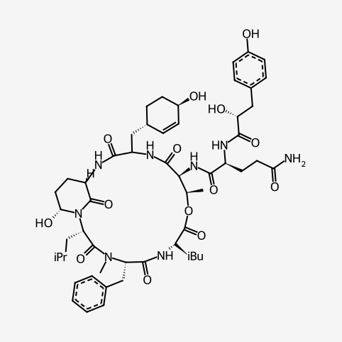 CC[C@H](C)[C@@H]1NC(=O)[C@H](Cc2ccccc2)N(C)C(=O)[C@H](CC(C)C)N2C(=O)[C@H](CC[C@H]2O)NC(=O)C(C[C@H]2C=C[C@H](O)CC2)NC(=O)[C@@H](NC(=O)[C@H](CCC(N)=O)NC(=O)[C@H](O)Cc2ccc(O)cc2)[C@@H](C)OC1=O